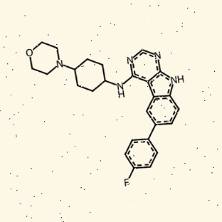 Fc1ccc(-c2ccc3[nH]c4ncnc(NC5CCC(N6CCOCC6)CC5)c4c3c2)cc1